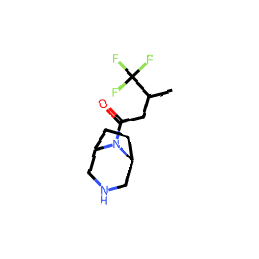 CC(CC(=O)N1C2CCC1CNC2)C(F)(F)F